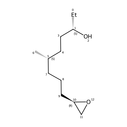 CC[C@H](O)CC[C@@H](C)CCC[C@@H]1CO1